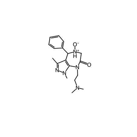 Cc1nn(C)c2c1C(c1ccccc1)[NH+]([O-])CC(=O)N2CCN(C)C